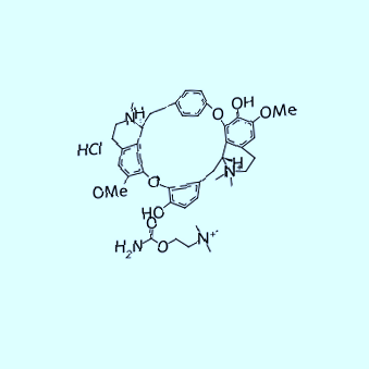 COc1cc2c3cc1Oc1cc(ccc1O)C[C@@H]1c4c(cc(OC)c(O)c4Oc4ccc(cc4)C[C@@H]3N(C)CC2)CC[N+]1(C)C.C[N+](C)(C)CCOC(N)=O.Cl